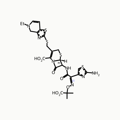 CCN1C=Cc2sc(SCC3=C(C(=O)O)N4C(=O)C(NC(=O)/C(=N\OC(C)(C)C(=O)O)c5csc(N)n5)[C@H]4SC3)nc2C1